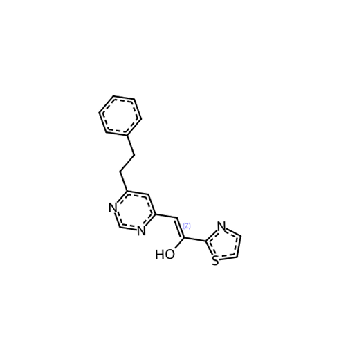 O/C(=C\c1cc(CCc2ccccc2)ncn1)c1nccs1